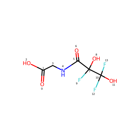 O=C(O)CNC(=O)C(O)(F)C(O)(F)F